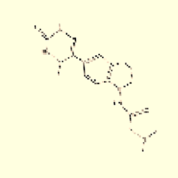 CC1NC(=O)NN=C1c1ccc2c(c1)CCCN2NC(=O)CN(C)C